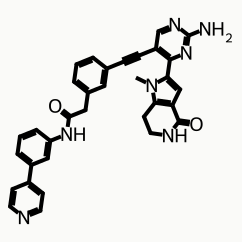 Cn1c(-c2nc(N)ncc2C#Cc2cccc(CC(=O)Nc3cccc(-c4ccncc4)c3)c2)cc2c1CCNC2=O